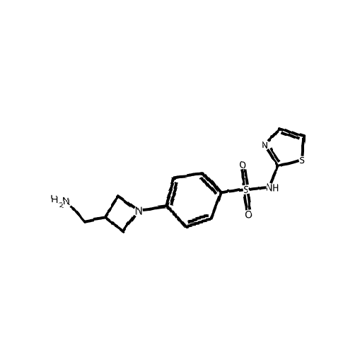 NCC1CN(c2ccc(S(=O)(=O)Nc3nccs3)cc2)C1